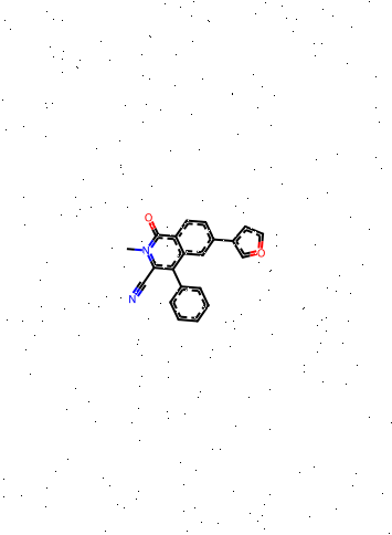 Cn1c(C#N)c(-c2ccccc2)c2cc(-c3ccoc3)ccc2c1=O